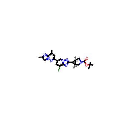 Cc1cn2nc(-c3cc(F)c4nc(C5[C@H]6CN(C(=O)OC(C)(C)C)C[C@@H]56)nn4c3)cc(C)c2n1